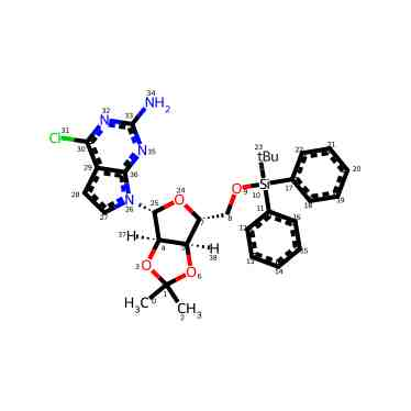 CC1(C)O[C@@H]2[C@H](O1)[C@@H](CO[Si](c1ccccc1)(c1ccccc1)C(C)(C)C)O[C@H]2n1ccc2c(Cl)nc(N)nc21